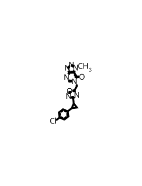 Cn1nnc2ncn(Cc3nc(C4CC4c4ccc(Cl)cc4)no3)c(=O)c21